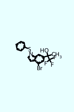 CC(O)(c1cc(Br)c2ccn(Sc3ccccc3)c2c1)C(F)(F)F